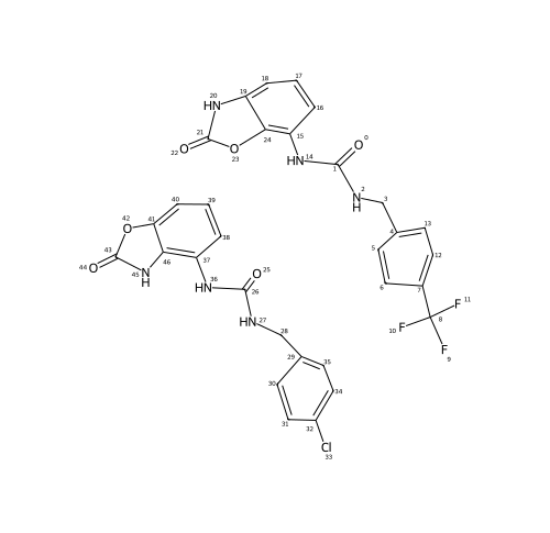 O=C(NCc1ccc(C(F)(F)F)cc1)Nc1cccc2[nH]c(=O)oc12.O=C(NCc1ccc(Cl)cc1)Nc1cccc2oc(=O)[nH]c12